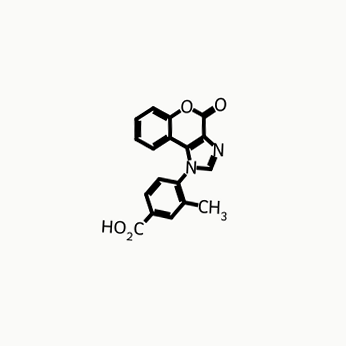 Cc1cc(C(=O)O)ccc1-n1cnc2c(=O)oc3ccccc3c21